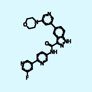 O=C(Nc1ccc(-c2cncc(F)c2)nc1)c1n[nH]c2ccc(-c3cncc(N4CCOCC4)c3)cc12